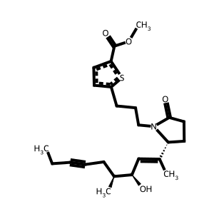 CCC#CC[C@H](C)[C@H](O)/C=C(\C)[C@H]1CCC(=O)N1CCCc1ccc(C(=O)OC)s1